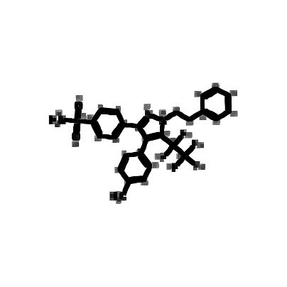 Cc1ccc(-c2c(-c3ccc(S(N)(=O)=O)cc3)nn(CCc3ccccc3)c2C(F)(F)C(F)(F)F)cc1